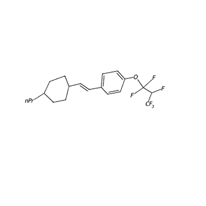 CCCC1CCC(C=Cc2ccc(OC(F)(F)C(F)C(F)(F)F)cc2)CC1